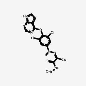 CN(/N=C(/C#N)C(=O)NC=O)c1cc(Cl)c(Oc2ncnc3[nH]ccc23)c(Cl)c1